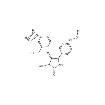 C=C.C=C.CCCCC1C(=O)NN(c2ccccc2)C1=O.CCOCC.OCc1ccccc1